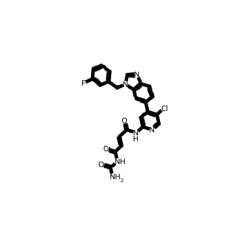 NC(=O)NC(=O)/C=C/C(=O)Nc1cc(-c2ccc3ncn(Cc4cccc(F)c4)c3c2)c(Cl)cn1